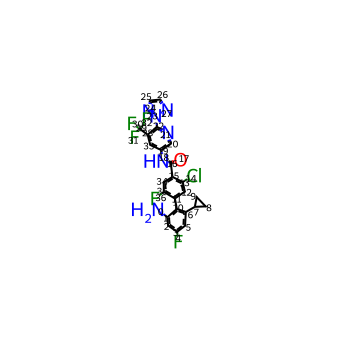 Nc1cc(F)cc(C2CC2)c1-c1cc(Cl)c(C(=O)Nc2cnc(-n3nccn3)c(C(F)(F)F)c2)cc1F